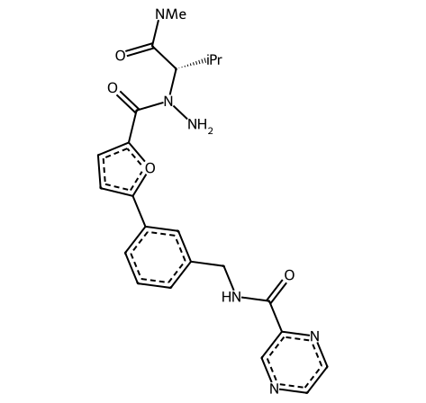 CNC(=O)[C@H](C(C)C)N(N)C(=O)c1ccc(-c2cccc(CNC(=O)c3cnccn3)c2)o1